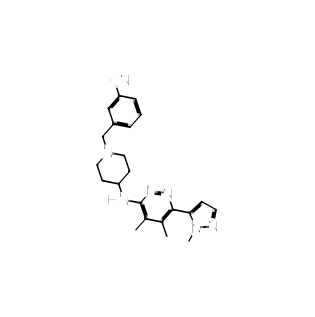 Cc1c(NC2CCN(Cc3cccc(C#N)c3)CC2)nnc(-c2ccnn2C)c1C